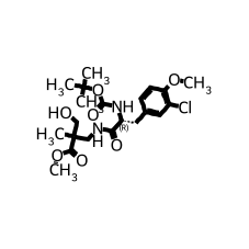 COC(=O)C(C)(CO)CNC(=O)[C@@H](Cc1ccc(OC)c(Cl)c1)NC(=O)OC(C)(C)C